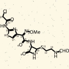 CON=C(C(=O)NC1C(=O)NC1SCCNC=O)c1csc(NC(=O)CCl)n1